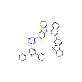 CC1(C)c2ccccc2-c2ccc(-c3cc(-n4c5ccccc5c5cc(-c6cncc(-c7cc(-c8ccccc8)nc(-c8ccccc8)n7)n6)ccc54)c4ccccc4c3)cc21